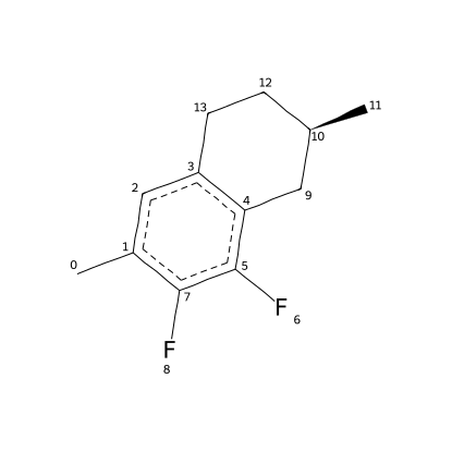 Cc1cc2c(c(F)c1F)C[C@H](C)CC2